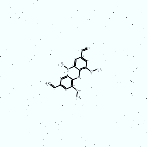 C=Cc1ccc(Oc2c(OC)cc(C=O)cc2OC)c(OC)c1